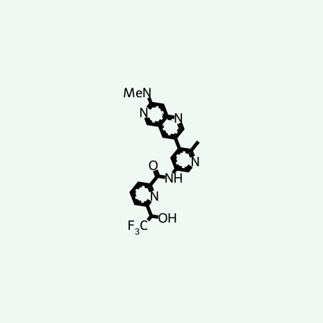 CNc1cc2ncc(-c3cc(NC(=O)c4cccc(C(O)C(F)(F)F)n4)cnc3C)cc2cn1